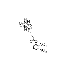 O=C1N[C@H]2[C@H](CS[C@H]2CCCCC(=O)Oc2cccc([N+](=O)[O-])c2[N+](=O)[O-])N1